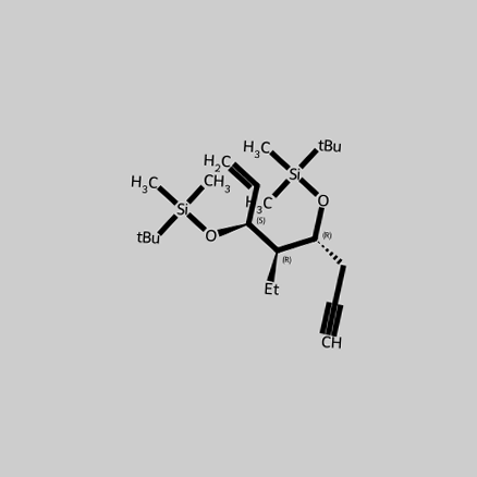 C#CC[C@@H](O[Si](C)(C)C(C)(C)C)[C@@H](CC)[C@H](C=C)O[Si](C)(C)C(C)(C)C